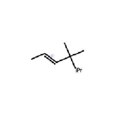 C/C=C/C(C)(C)C(C)C